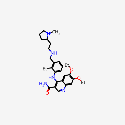 CCOc1cc2ncc(C(N)=O)c(Nc3cccc(CNCCC4CCCN4C)c3CC)c2cc1OCC